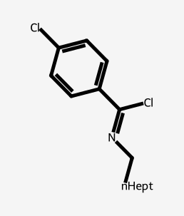 CCCCCCCCN=C(Cl)c1ccc(Cl)cc1